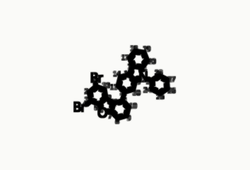 Brc1cc(Br)c2oc3cccc(-c4ccc5c6ccccc6n(-c6ccccc6)c5c4)c3c2c1